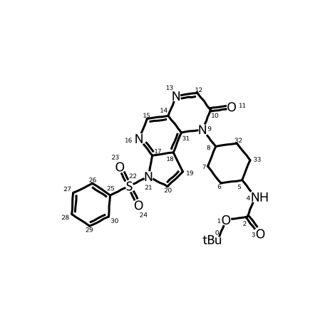 CC(C)(C)OC(=O)NC1CCC(n2c(=O)cnc3cnc4c(ccn4S(=O)(=O)c4ccccc4)c32)CC1